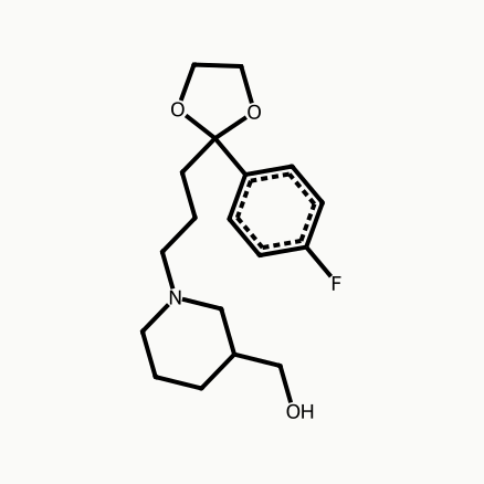 OCC1CCCN(CCCC2(c3ccc(F)cc3)OCCO2)C1